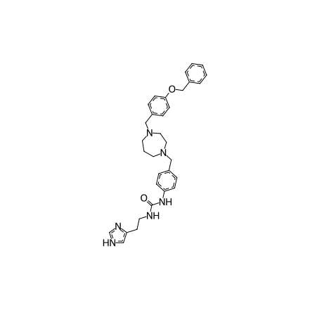 O=C(NCCc1c[nH]cn1)Nc1ccc(CN2CCCN(Cc3ccc(OCc4ccccc4)cc3)CC2)cc1